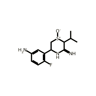 CC(C)C1C(=N)NC(c2cc(N)ccc2F)C[S+]1[O-]